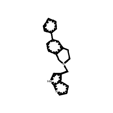 c1ccc(-c2ccc3c(c2)CCN(Cc2c[nH]c4ncccc24)C3)cc1